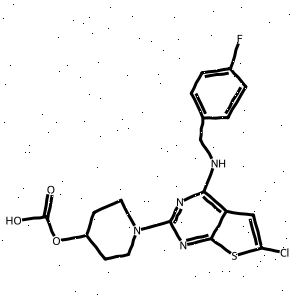 O=C(O)OC1CCN(c2nc(NCc3ccc(F)cc3)c3cc(Cl)sc3n2)CC1